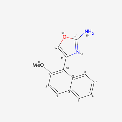 COc1ccc2ccccc2c1-c1coc(N)n1